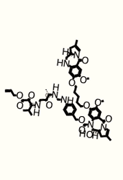 C=CCOC(=O)C(=O)[C@@H](NCC(=O)[C@H](C)NCNc1ccc(COC(=O)N2c3cc(OCCCCCOc4cc5c(cc4OC)C(=O)N4C=C(C)C[C@H]4CN5)c(OC)cc3C(=O)N3C=C(C)C[C@H]3[C@@H]2O)cc1)C(C)C